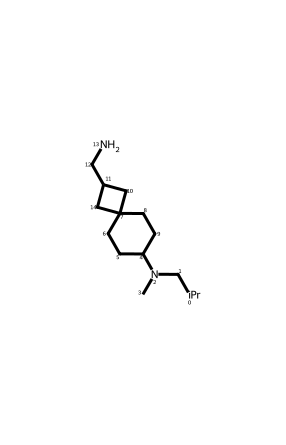 CC(C)CN(C)C1CCC2(CC1)CC(CN)C2